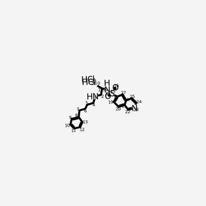 CC(CNCCCCc1ccccc1)NS(=O)(=O)c1ccc2cnccc2c1.Cl.Cl